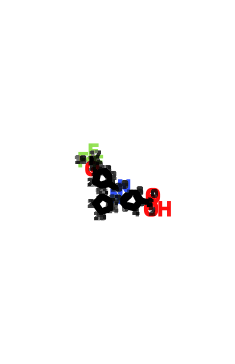 O=C(O)c1ccc2c(c1)nc(-c1ccc(OC(F)(F)F)cc1)n2C1CCCC1